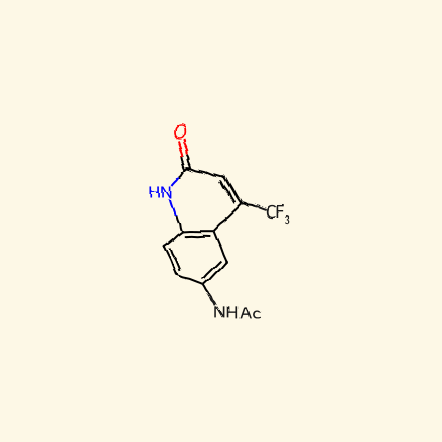 CC(=O)Nc1ccc2[nH]c(=O)cc(C(F)(F)F)c2c1